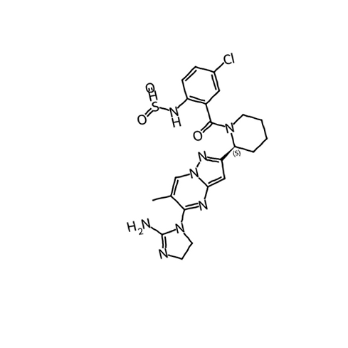 Cc1cn2nc([C@@H]3CCCCN3C(=O)c3cc(Cl)ccc3N[SH](=O)=O)cc2nc1N1CCN=C1N